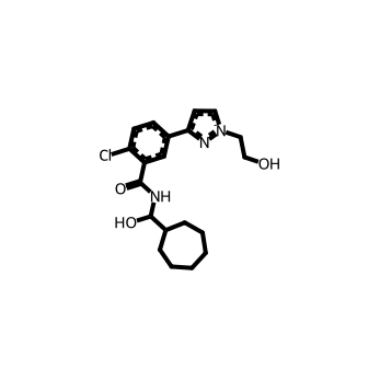 O=C(NC(O)C1CCCCCC1)c1cc(-c2ccn(CCO)n2)ccc1Cl